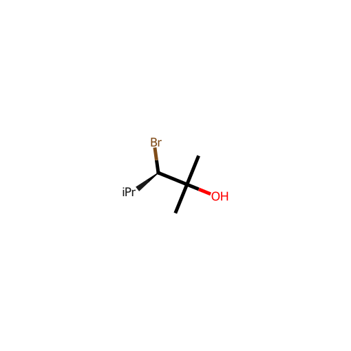 CC(C)[C@@H](Br)C(C)(C)O